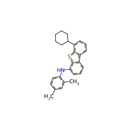 Cc1ccc(Nc2cccc3c2sc2c(C4CCCCC4)cccc23)c(C)c1